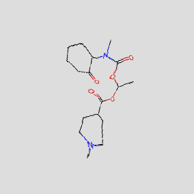 CC(OC(=O)C1CCN(C)CC1)OC(=O)N(C)C1CCCCC1=O